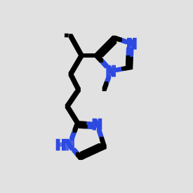 [CH2]C(CCCc1ncc[nH]1)c1cncn1C